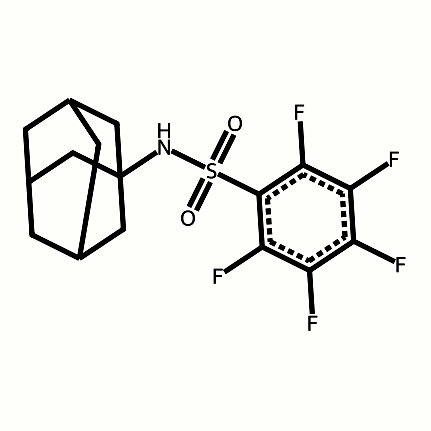 O=S(=O)(NC12CC3CC(CC(C3)C1)C2)c1c(F)c(F)c(F)c(F)c1F